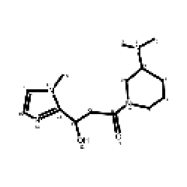 CN(C)C1CCCN(C(=O)CC(O)c2nccn2C)C1